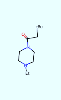 CCN1CCN(C(=O)CC(C)(C)C)CC1